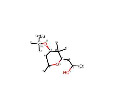 CCC(O)C[C@H]1OC(C)C[C@@H](O[Si](C)(C)C(C)(C)C)C1(C)C